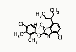 CCC(CC)c1ccc(Cl)c2nc(Oc3ccc(Cl)c(C)c3C)n(C)c12